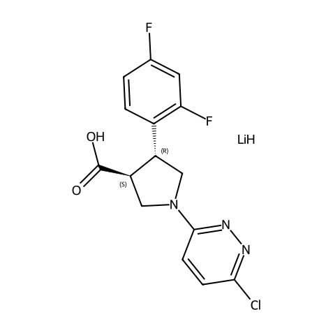 O=C(O)[C@@H]1CN(c2ccc(Cl)nn2)C[C@H]1c1ccc(F)cc1F.[LiH]